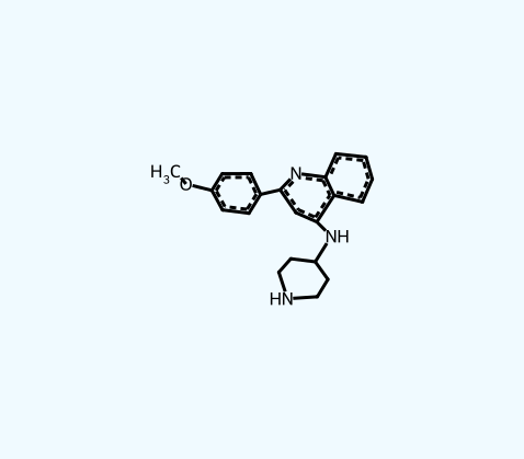 COc1ccc(-c2cc(NC3CCNCC3)c3ccccc3n2)cc1